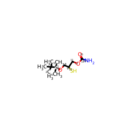 CC(C)(C)[Si](C)(C)OCC(S)COC(N)=O